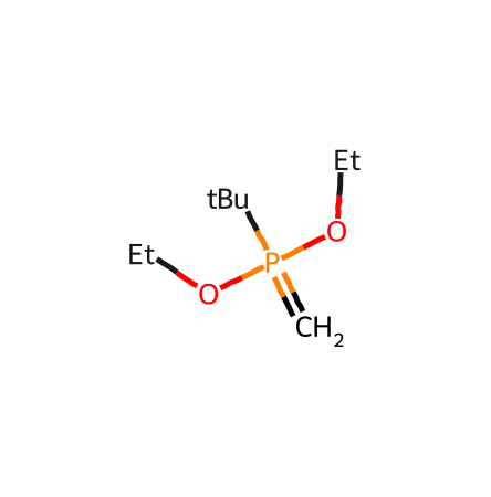 C=P(OCC)(OCC)C(C)(C)C